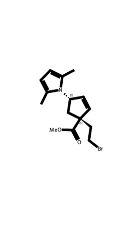 COC(=O)[C@@]1(CCBr)C=C[C@@H](n2c(C)ccc2C)C1